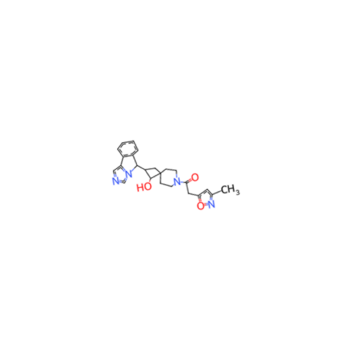 Cc1cc(CC(=O)N2CCC3(CC2)CC(C2c4ccccc4-c4cncn42)C3O)on1